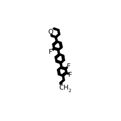 C=CCc1ccc(-c2ccc(-c3ccc(C4CCCOC4)cc3F)cc2)c(F)c1F